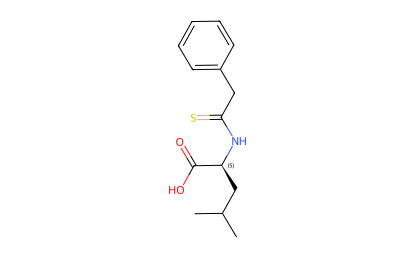 CC(C)C[C@H](NC(=S)Cc1ccccc1)C(=O)O